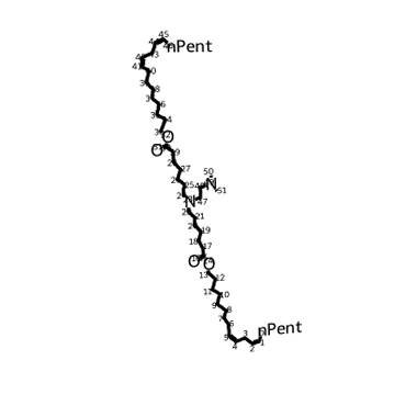 CCCCC/C=C\C/C=C\CCCCCCCCOC(=O)CCCCCCN(CCCCCCC(=O)OCCCCCCCC/C=C\C/C=C\CCCCC)CCN(C)C